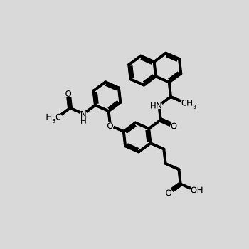 CC(=O)Nc1ccccc1Oc1ccc(CCCC(=O)O)c(C(=O)NC(C)c2cccc3ccccc23)c1